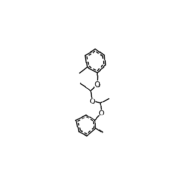 Cc1ccccc1OC(C)OC(C)Oc1ccccc1C